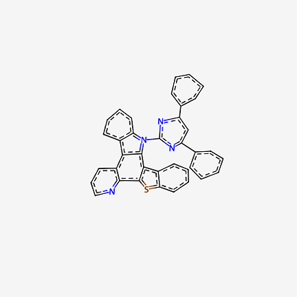 c1ccc(-c2cc(-c3ccccc3)nc(-n3c4ccccc4c4c5cccnc5c5sc6ccccc6c5c43)n2)cc1